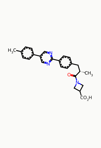 Cc1ccc(-c2cnc(-c3ccc(C[C@H](C)C(=O)N4CC(C(=O)O)C4)cc3)nc2)cc1